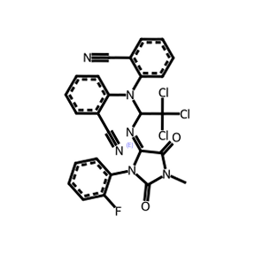 CN1C(=O)/C(=N\C(N(c2ccccc2C#N)c2ccccc2C#N)C(Cl)(Cl)Cl)N(c2ccccc2F)C1=O